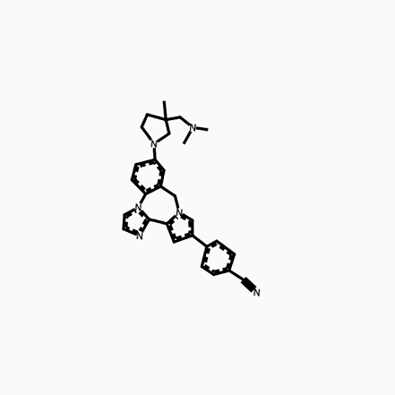 CN(C)CC1(C)CCN(c2ccc3c(c2)Cn2cc(-c4ccc(C#N)cc4)cc2-c2nccn2-3)C1